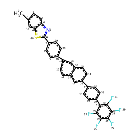 Cc1ccc2nc(-c3ccc(-c4ccc5cc(-c6ccc(-c7c(F)c(F)c(F)c(F)c7F)cc6)ccc5c4)cc3)sc2c1